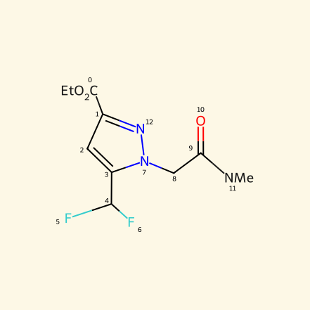 CCOC(=O)c1cc(C(F)F)n(CC(=O)NC)n1